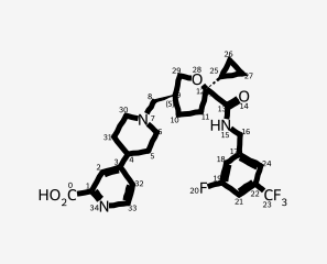 O=C(O)c1cc(C2CCN(C[C@@H]3CC[C@@](C(=O)NCc4cc(F)cc(C(F)(F)F)c4)(C4CC4)OC3)CC2)ccn1